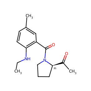 CCNc1ccc(C)cc1C(=O)N1CCC[C@@H]1C(C)=O